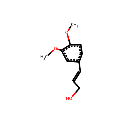 COc1ccc(C=CCO)cc1OC